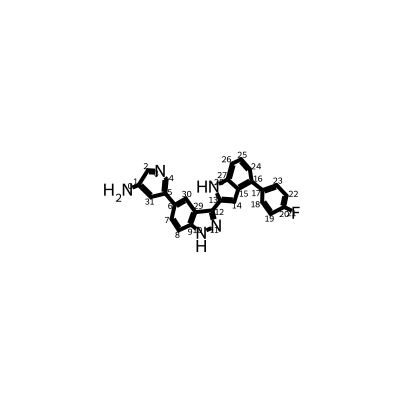 Nc1cncc(-c2ccc3[nH]nc(-c4cc5c(-c6ccc(F)cc6)cccc5[nH]4)c3c2)c1